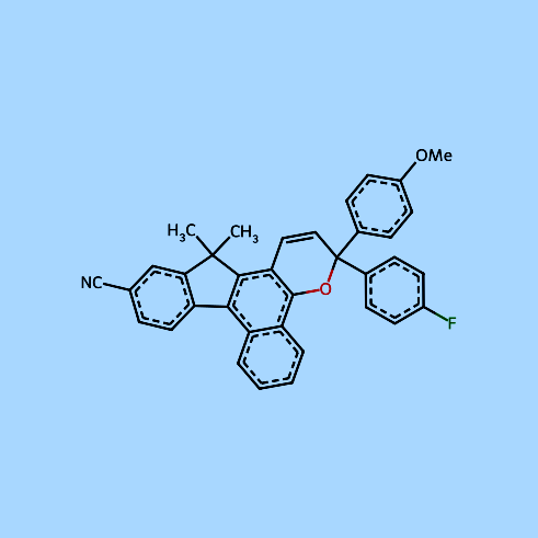 COc1ccc(C2(c3ccc(F)cc3)C=Cc3c4c(c5ccccc5c3O2)-c2ccc(C#N)cc2C4(C)C)cc1